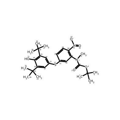 CN(C(=O)OC(C)(C)C)c1cc(Sc2cc(C(C)(C)C)c(O)c(C(C)(C)C)c2)ccc1[N+](=O)[O-]